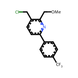 COCc1nc(-c2ccc(C(F)(F)F)cc2)ccc1CCl